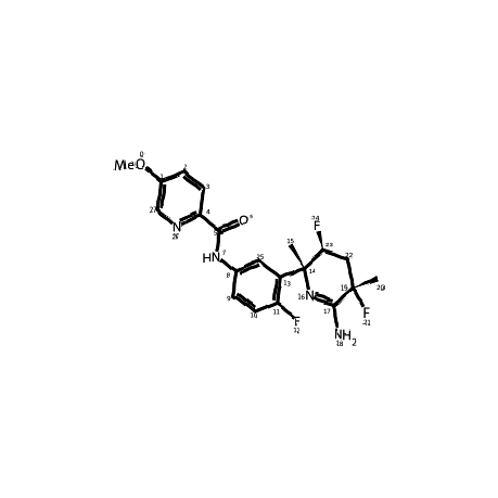 COc1ccc(C(=O)Nc2ccc(F)c([C@@]3(C)N=C(N)[C@@](C)(F)C[C@@H]3F)c2)nc1